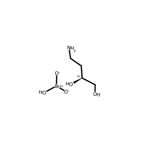 NCC[C@H](O)CO.[O-][Br+2]([O-])O